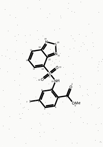 COC(=O)c1ccc(I)cc1NS(=O)(=O)c1cccc2nsnc12